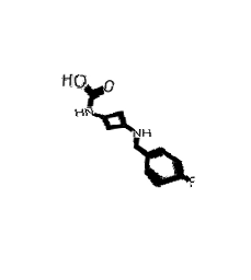 O=C(O)NC1CC(NCc2ccc(F)cc2)C1